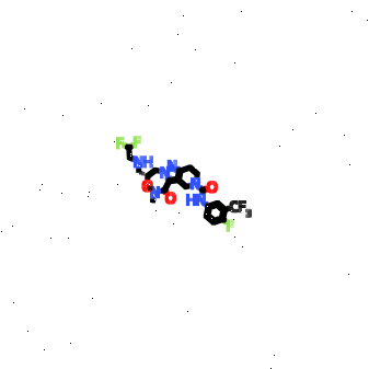 CN1O[C@H](CNCC(F)F)Cn2nc3c(c2C1=O)CN(C(=O)Nc1ccc(F)c(C(F)(F)F)c1)CC3